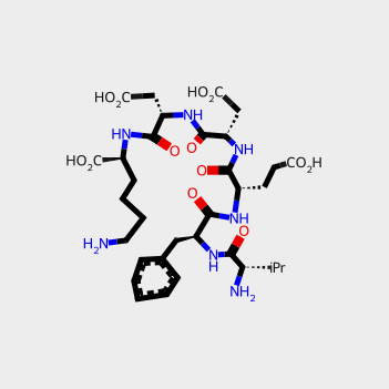 CC(C)[C@H](N)C(=O)N[C@@H](Cc1ccccc1)C(=O)N[C@@H](CCC(=O)O)C(=O)N[C@@H](CC(=O)O)C(=O)N[C@@H](CC(=O)O)C(=O)N[C@@H](CCCCN)C(=O)O